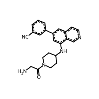 N#Cc1cccc(-c2cc(NC3CCN(C(=O)CN)CC3)c3cnccc3c2)c1